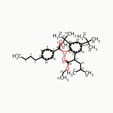 CCCCc1ccc(C(=O)Oc2c(C(CC(C)C)C(=O)OCC)cc(C(C)(C)C)cc2C(C)(C)C)cc1